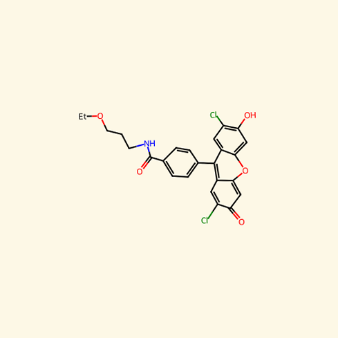 CCOCCCNC(=O)c1ccc(-c2c3cc(Cl)c(=O)cc-3oc3cc(O)c(Cl)cc23)cc1